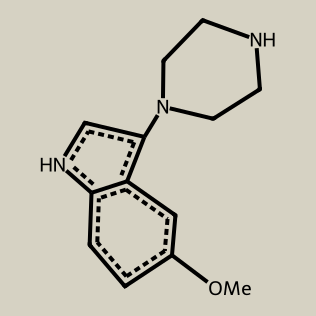 COc1ccc2[nH]cc(N3CCNCC3)c2c1